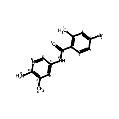 Cc1cc(Br)ccc1C(=O)Nc1cnc(N)c(C(F)(F)F)c1